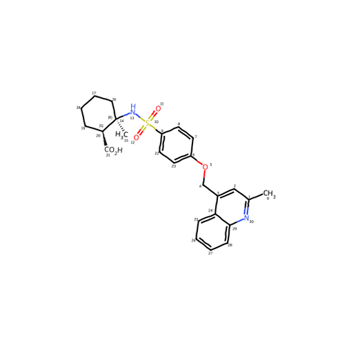 Cc1cc(COc2ccc(S(=O)(=O)N[C@]3(C)CCCC[C@@H]3C(=O)O)cc2)c2ccccc2n1